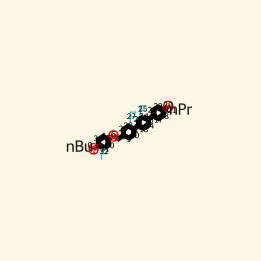 CCCCOc1ccc(OCC2CCC(c3ccc(-c4ccc(OCCC)cc4)c(F)c3F)CC2)cc1F